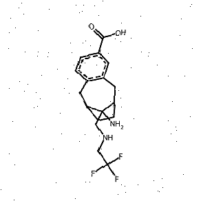 NC1(CNCC(F)(F)F)C2CCC1Cc1cc(C(=O)O)ccc1C2